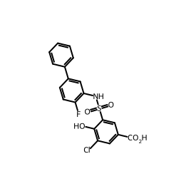 O=C(O)c1cc(Cl)c(O)c(S(=O)(=O)Nc2cc(-c3ccccc3)ccc2F)c1